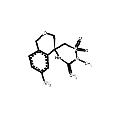 C=C1N[C@@]2(COCc3ccc(N)cc32)CS(=O)(=O)N1C